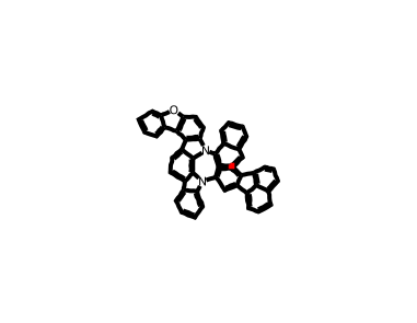 c1ccc2c(-n3c4ccc5oc6ccccc6c5c4c4ccc5c6ccccc6n(-c6ccc7c(c6)-c6cccc8cccc-7c68)c5c43)cccc2c1